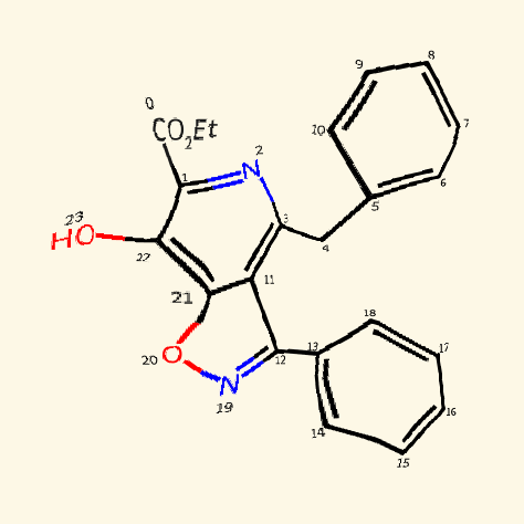 CCOC(=O)c1nc(Cc2ccccc2)c2c(-c3ccccc3)noc2c1O